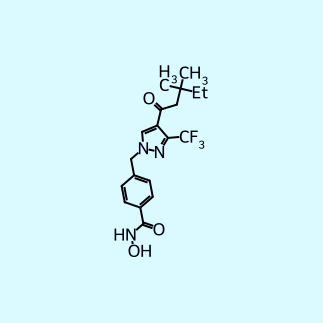 CCC(C)(C)CC(=O)c1cn(Cc2ccc(C(=O)NO)cc2)nc1C(F)(F)F